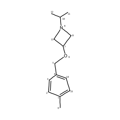 Cc1ccc(COC2CN(C(C)C)C2)cc1